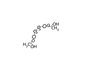 CC(CO)COc1ccc(-c2ccc(-c3ccc(-c4ccc(OCC(C)CO)cc4)s3)s2)cc1